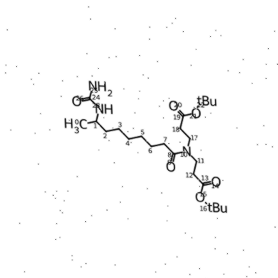 CC(CCCCCCC(=O)N(CCC(=O)OC(C)(C)C)CCC(=O)OC(C)(C)C)NC(N)=O